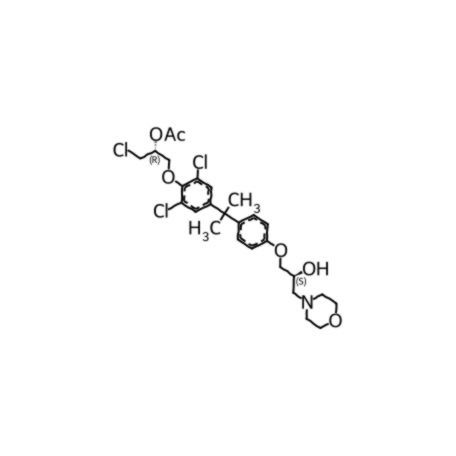 CC(=O)O[C@@H](CCl)COc1c(Cl)cc(C(C)(C)c2ccc(OC[C@@H](O)CN3CCOCC3)cc2)cc1Cl